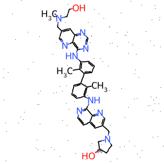 Cc1c(Nc2nccc3cc(CN4CC[C@@H](O)C4)cnc23)cccc1-c1cccc(Nc2ncnc3cc(CN(C)CCO)cnc23)c1C